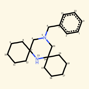 c1ccc(CN2CC3(CCCCC3)NC3(CCCCC3)C2)cc1